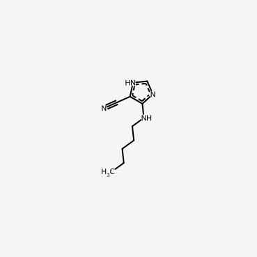 CCCCCNc1nc[nH]c1C#N